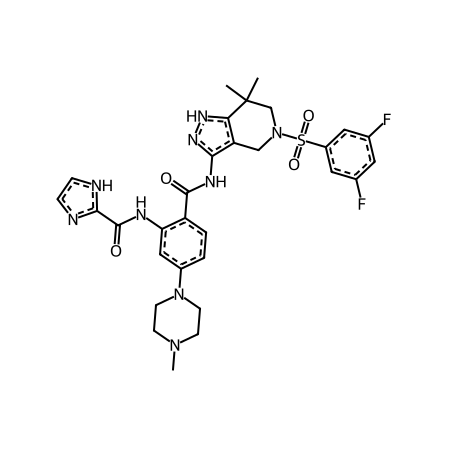 CN1CCN(c2ccc(C(=O)Nc3n[nH]c4c3CN(S(=O)(=O)c3cc(F)cc(F)c3)CC4(C)C)c(NC(=O)c3ncc[nH]3)c2)CC1